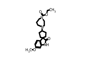 CCOC(=O)N1CCCN(C2CCC3(CC2)C(=O)Nc2cc(OC)ccc23)CC1